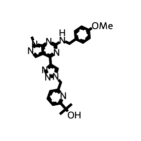 COc1ccc(CNc2nc(-c3cn(Cc4cccc(C(C)(C)O)n4)nn3)c3cnn(C)c3n2)cc1